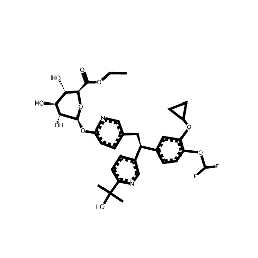 CCOC(=O)[C@H]1O[C@@H](Oc2ccc(C[C@H](c3ccc(C(C)(C)O)nc3)c3ccc(OC(F)F)c(OC4CC4)c3)cn2)[C@H](O)[C@@H](O)[C@@H]1O